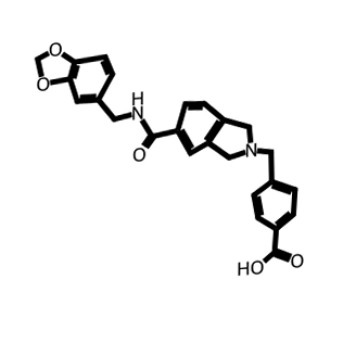 O=C(O)c1ccc(CN2Cc3ccc(C(=O)NCc4ccc5c(c4)OCO5)cc3C2)cc1